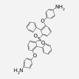 Nc1ccc(Oc2cccc(S(=O)(=O)c3cccc(Oc4ccc(N)cc4)c3-c3ccccc3)c2-c2ccccc2)cc1